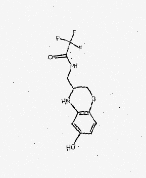 O=C(NCC1COc2ccc(O)cc2N1)C(F)(F)F